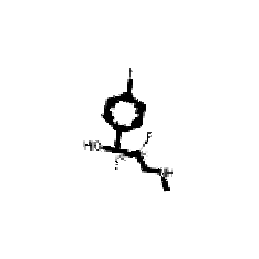 CNC[C@@H](F)[C@@](C)(O)c1ccc(F)cc1